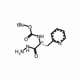 CC(C)(C)OC(=O)N[C@H](Cc1ccccn1)C(=O)NN